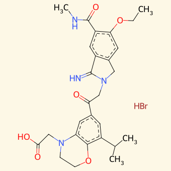 Br.CCOc1cc2c(cc1C(=O)NC)C(=N)N(CC(=O)c1cc(C(C)C)c3c(c1)N(CC(=O)O)CCO3)C2